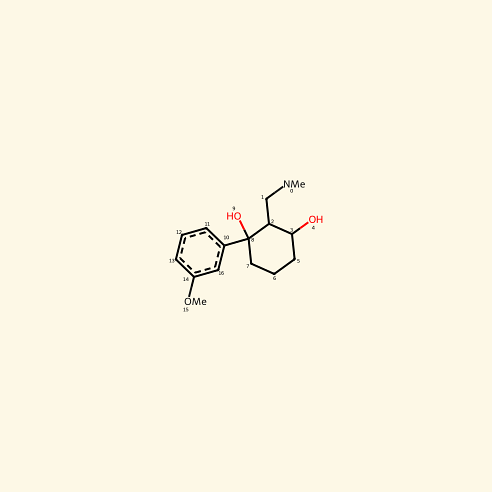 CNCC1C(O)CCCC1(O)c1cccc(OC)c1